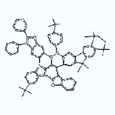 CC(C)(C)c1ccc(N2B3c4cc5nc(-c6ccccc6)n(-c6ccccc6)c5cc4-n4c5ccc(C(C)(C)C)cc5c5c6oc7ccccc7c6c(c3c54)-c3cc4c(cc32)-c2cc3c(cc2C4(C)C)C(C)(C)CCC3(C)C)cc1